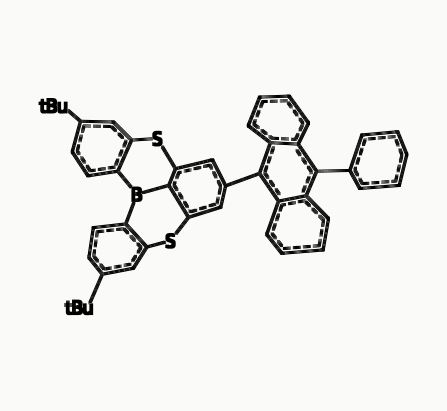 CC(C)(C)c1ccc2c(c1)Sc1cc(-c3c4ccccc4c(-c4ccccc4)c4ccccc34)cc3c1B2c1ccc(C(C)(C)C)cc1S3